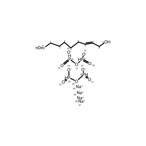 CCCCCCCCCCCCCCCC=CCO.O=[PH]([O-])O[PH](=O)[O-].O=[PH]([O-])O[PH](=O)[O-].[Na+].[Na+].[Na+].[Na+]